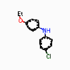 CCOc1ccc(Nc2ccc(Cl)cc2)cc1